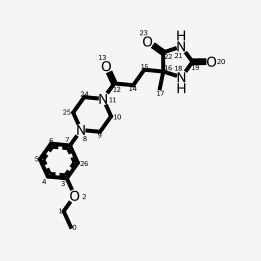 CCOc1cccc(N2CCN(C(=O)CCC3(C)NC(=O)NC3=O)CC2)c1